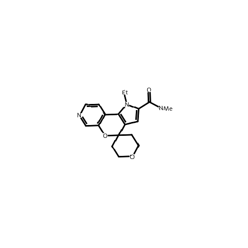 CCn1c(C(=O)NC)cc2c1-c1ccncc1OC21CCOCC1